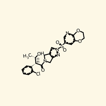 C[C@H](O)[C@H](C(=O)N1Cc2cn(S(=O)(=O)c3cnc4c(c3)OCCO4)nc2C1)c1ccccc1Cl